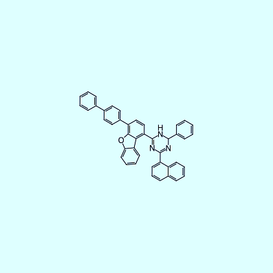 c1ccc(-c2ccc(-c3ccc(C4=NC(c5cccc6ccccc56)=NC(c5ccccc5)N4)c4c3oc3ccccc34)cc2)cc1